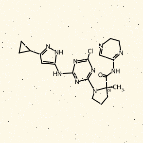 C[C@@]1(C(=O)NC2=NCCN=C2)CCCN1c1nc(Cl)nc(Nc2cc(C3CC3)n[nH]2)n1